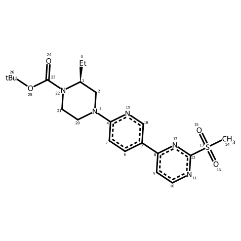 CC[C@H]1CN(c2ccc(-c3ccnc(S(C)(=O)=O)n3)cn2)CCN1C(=O)OC(C)(C)C